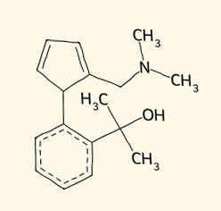 CN(C)CC1=CC=CC1c1ccccc1C(C)(C)O